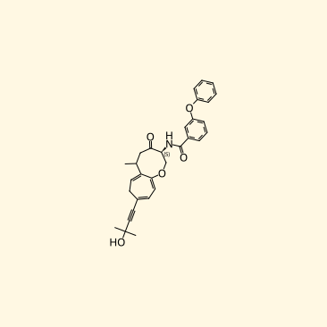 CC1CC(=O)[C@@H](NC(=O)c2cccc(Oc3ccccc3)c2)COC2=CC=C(C#CC(C)(C)O)CC=C21